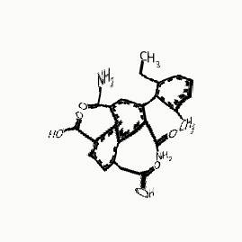 CCc1cccc(C)c1-c1cc(C(N)=O)c2c(C(=O)O)ccc(C(=O)O)c2c1C(N)=O